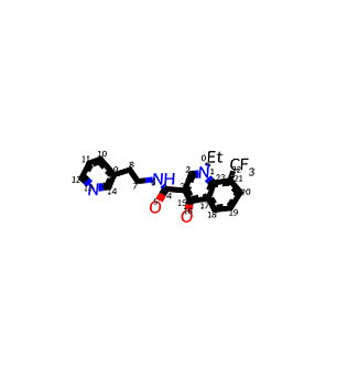 CCn1cc(C(=O)NCCc2cccnc2)c(=O)c2cccc(C(F)(F)F)c21